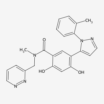 Cc1ccccc1-n1nccc1-c1cc(C(=O)N(C)Cc2cccnn2)c(O)cc1O